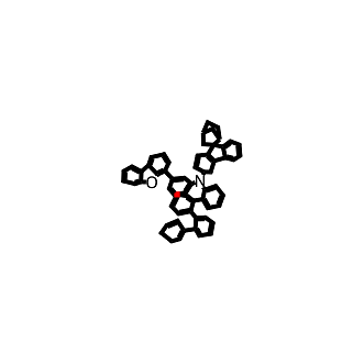 C1=CC(c2ccccc2-c2ccccc2-c2ccccc2N(c2cccc(-c3cccc4c3oc3ccccc34)c2)C2C=CC3=C(C2)c2ccccc2C32CC3CCC2C3)=CCC1